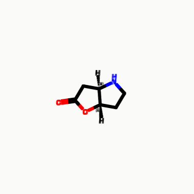 O=C1C[C@H]2NCC[C@@H]2O1